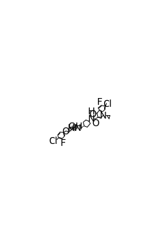 O=C(N[C@H]1CC[C@H](CNC[C@H](O)COc2ccc(Cl)c(F)c2)CC1)c1cn(C2CC2)c2cc(Cl)c(F)cc2c1=O